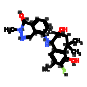 Cn1ncc2c(NC3c4cc(C#N)c(F)c(O)c4C(C)(C)CC3(O)C(F)(F)F)cccc2c1=O